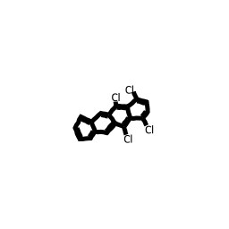 Clc1ccc(Cl)c2c(Cl)c3cc4ccccc4cc3c(Cl)c12